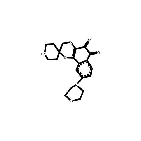 O=C1C(=O)c2ccc(N3CCOCC3)cc2C2=C1SCC1(CCNCC1)O2